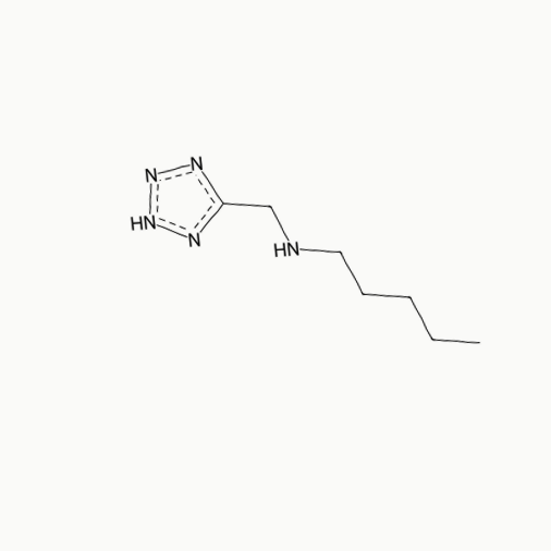 CCCCCNCc1nn[nH]n1